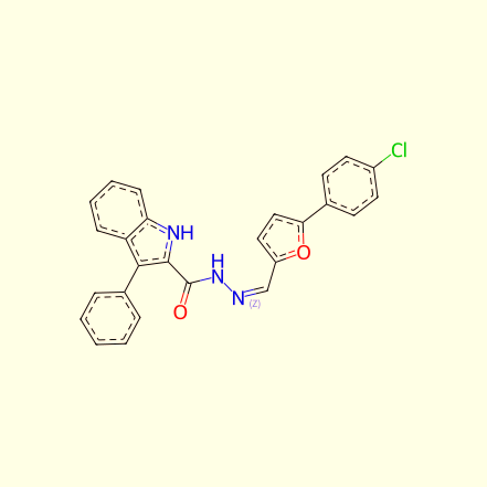 O=C(N/N=C\c1ccc(-c2ccc(Cl)cc2)o1)c1[nH]c2ccccc2c1-c1ccccc1